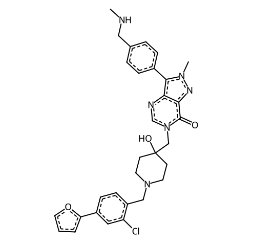 CNCc1ccc(-c2c3ncn(CC4(O)CCN(Cc5ccc(-c6ccco6)cc5Cl)CC4)c(=O)c3nn2C)cc1